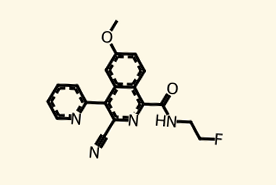 COc1ccc2c(C(=O)NCCF)nc(C#N)c(-c3ccccn3)c2c1